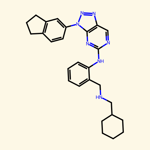 c1ccc(Nc2ncc3nnn(-c4ccc5c(c4)CCC5)c3n2)c(CNCC2CCCCC2)c1